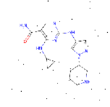 NC(=O)c1cnc(Nc2cnn([C@H]3CCCNC3)c2)nc1NC1CC1